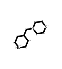 C1CC(CN2CCSCC2)CCN1